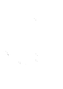 Cc1ccc(-n2nc(C(=O)N3CC[C@@H](N)C3)cc2-c2ccc(C#N)cc2)cc1